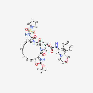 CC(C)(C)OC(=O)NC1CCCCCC=CC2CC2(C(=O)NS(=O)(=O)N2CCCC2)NC(=O)C2CC(OC(=O)NC(CN3CCOCC3)c3ccccc3)CN2C1=O